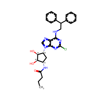 CCCC(=O)N[C@H]1C[C@@H](n2cnc3c(NCC(c4ccccc4)c4ccccc4)nc(Cl)nc32)[C@H](O)[C@@H]1O